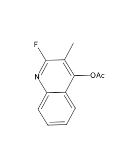 CC(=O)Oc1c(C)c(F)nc2ccccc12